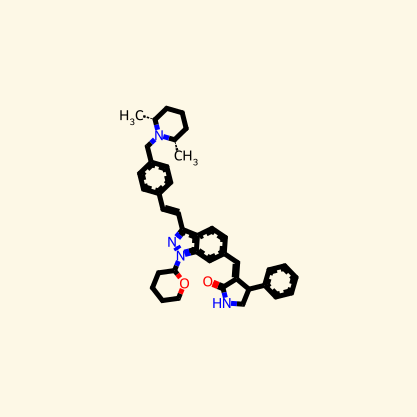 C[C@@H]1CCC[C@H](C)N1Cc1ccc(/C=C/c2nn(C3CCCCO3)c3cc(C=C4C(=O)NCC4c4ccccc4)ccc23)cc1